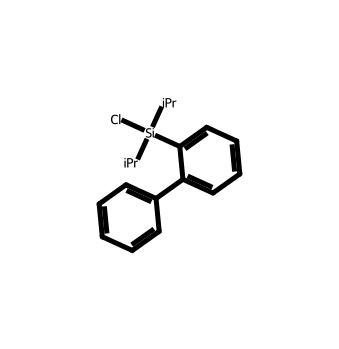 CC(C)[Si](Cl)(c1ccccc1-c1ccccc1)C(C)C